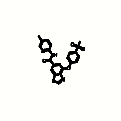 Cc1ccc(NC(=O)c2cc(Oc3ccc(S(C)(=O)=O)cc3)c3ncsc3c2)nc1